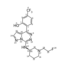 Oc1cc(C(F)(F)F)ccc1-c1nnc(N[C@@H]2CCCN(CCF)C2)n2nccc12